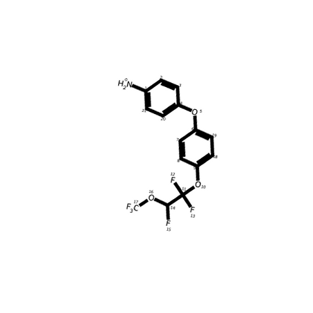 Nc1ccc(Oc2ccc(OC(F)(F)C(F)OC(F)(F)F)cc2)cc1